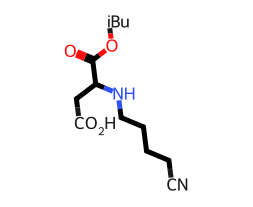 CCC(C)OC(=O)C(CC(=O)O)NCCCCC#N